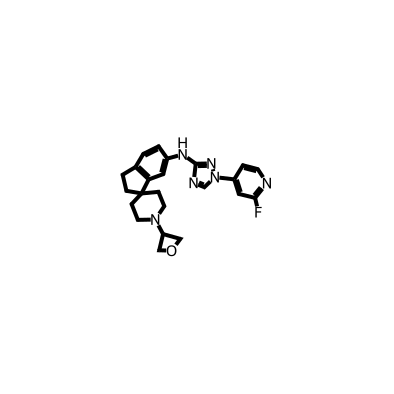 Fc1cc(-n2cnc(Nc3ccc4c(c3)C3(CC4)CCN(C4COC4)CC3)n2)ccn1